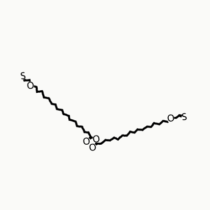 O=C(CCCCCCCCCCCCCCCCCOCC=S)OC(=O)CCCCCCCCCCCCCCCCCOCC=S